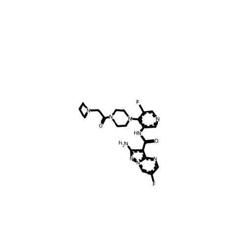 Nc1nn2cc(F)cnc2c1C(=O)Nc1cncc(F)c1N1CCN(C(=O)CN2CCC2)CC1